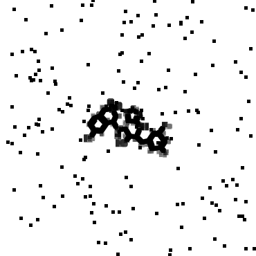 CCc1ccc2c(c1)C(NCC(O)C(Cc1cc(F)cc(F)c1)Nc1cnsn1)CS(=O)(=O)C2